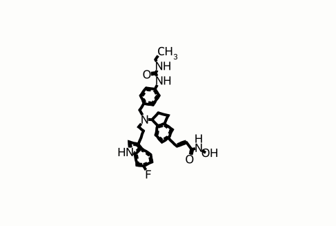 CCNC(=O)Nc1ccc(CN(CCc2c[nH]c3cc(F)ccc23)C2CCc3cc(/C=C/C(=O)NO)ccc32)cc1